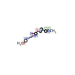 COC1CCC(NC/C=C/C(=O)Nc2ccc(C(=O)c3ccc4c(-c5ccc6nn(C)c(Cl)c6c5Cl)cccn34)cc2C#N)CC1